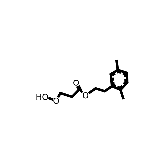 Cc1ccc(C)c(CCOC(=O)CCOO)c1